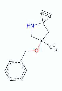 FC(F)(F)C1(OCc2ccccc2)CNC2(C#C2)C1